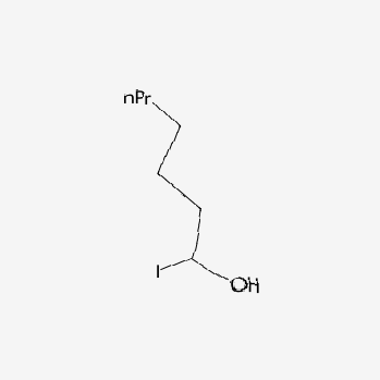 CCCCCCC(O)I